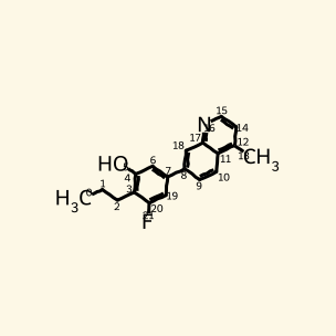 CCCc1c(O)cc(-c2ccc3c(C)ccnc3c2)cc1F